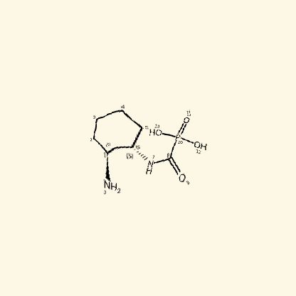 N[C@H]1CCCC[C@@H]1NC(=O)P(=O)(O)O